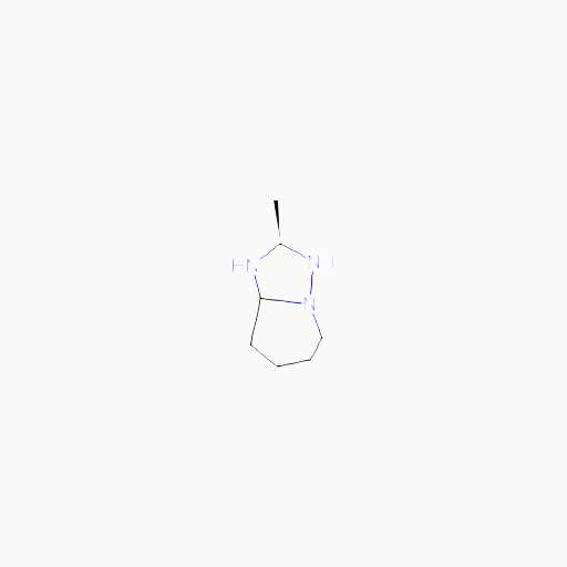 C[C@@H]1NC2CCCCN2N1